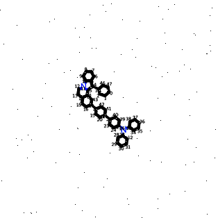 c1ccc(-c2c3ccccc3n3ccc4ccc(-c5ccc(-c6ccc(N(c7ccccc7)c7ccccc7)cc6)cc5)cc4c23)cc1